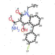 CC(C)Cn1c(=O)c(C(N)=O)c(O)c2c(-c3ccc(F)cc3)cccc21